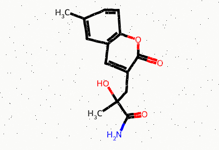 Cc1ccc2oc(=O)c(CC(C)(O)C(N)=O)cc2c1